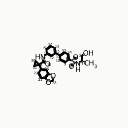 C[C@H](CO)NS(=O)(=O)c1ccc(-c2cccc(NC(=O)C3(c4ccc5c(c4)OCO5)CC3)c2)cc1